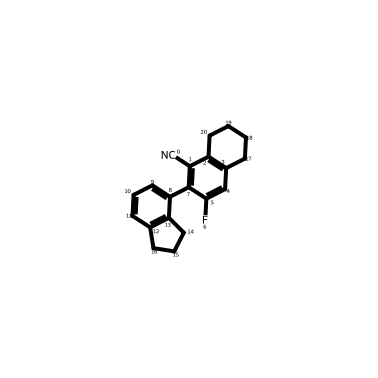 N#Cc1c2c(cc(F)c1-c1cccc3c1CCC3)CCCC2